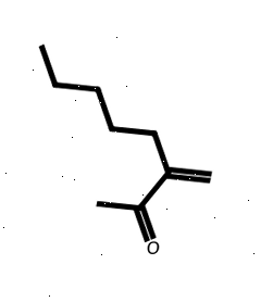 C=C(CCCCC)C(C)=O